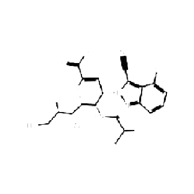 CC(C)C(=O)N[C@H]1[C@H]([C@H](O)[C@H](O)CO)OC(C(=O)O)=C[C@@H]1n1nc2cccc(Cl)c2c1C#N